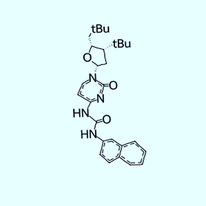 CC(C)(C)C[C@H]1O[C@@H](n2ccc(NC(=O)Nc3ccc4ccccc4c3)nc2=O)C[C@H]1C(C)(C)C